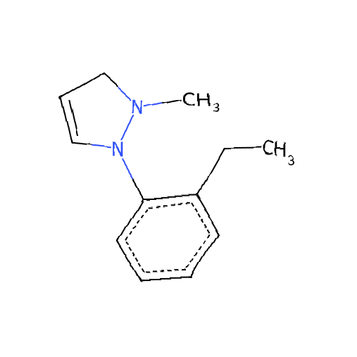 CCc1ccccc1N1C=CCN1C